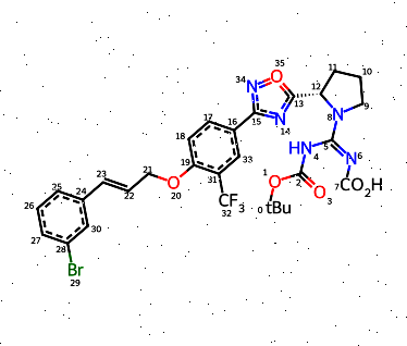 CC(C)(C)OC(=O)N/C(=N\C(=O)O)N1CCC[C@H]1c1nc(-c2ccc(OC/C=C/c3cccc(Br)c3)c(C(F)(F)F)c2)no1